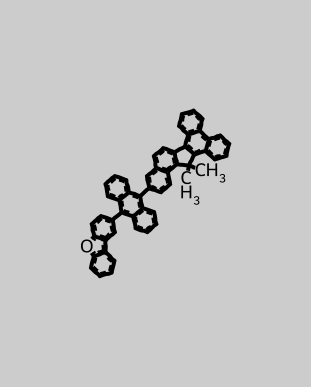 CC1(C)c2c(ccc3cc(-c4c5ccccc5c(-c5ccc6oc7ccccc7c6c5)c5ccccc45)ccc23)-c2c1c1ccccc1c1ccccc21